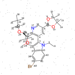 CCn1c(-c2cc(B3OC(C)(C)C(C)(C)O3)cnc2[C@H](C)OC)c(CC(C)(C)CO[Si](C)(C)C(C)(C)C)c2cc(Br)ccc21